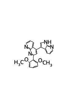 COc1cccc(OC)c1-c1cc(-c2c[nH]c3ncccc23)c2cccnc2n1